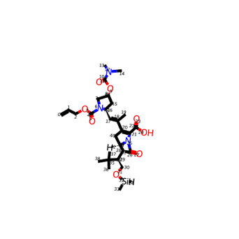 C=CCOC(=O)N1C[C@H](OC(=O)N(C)C)C[C@H]1C=C(C)C1=C(C(=O)O)N2C(=O)[C@@H]([C@@H](CO[SiH](C)C)C(C)(C)C)[C@H]2C1